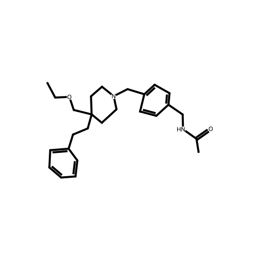 CCOCC1(CCc2ccccc2)CCN(Cc2ccc(CNC(C)=O)cc2)CC1